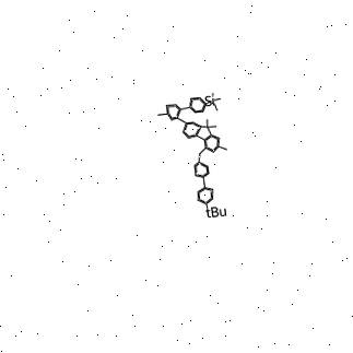 Cc1ccc(-c2ccc([Si](C)(C)C)cc2)c(-c2ccc3c(c2)C(C)(C)c2cc(C)cc(Cc4ccc(-c5ccc(C(C)(C)C)cc5)cc4)c2-3)c1